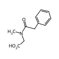 CN(CC(=O)O)C(=O)Cc1ccccc1